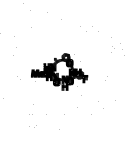 CNC[C@@H]1NC(=O)CNC(=O)[C@@H](Cc2cccc(F)c2)N[C@@H](C)COc2ccccc2C[C@H](C)CNC1=O